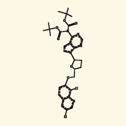 CC(C)(C)OC(=O)N(C(=O)OC(C)(C)C)c1ncnc2c1ccn2C1CCC(COc2ccc3cc(Cl)cnc3c2Cl)O1